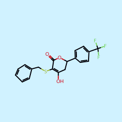 O=C1OC(c2ccc(C(F)(F)F)cc2)CC(O)=C1SCc1ccccc1